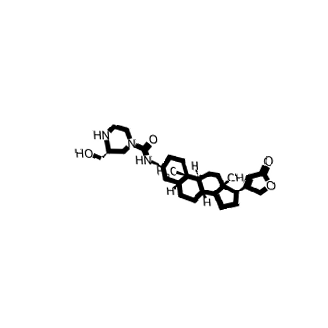 C[C@]12CC[C@H](NC(=O)N3CCN[C@@H](CO)C3)C[C@H]1CC[C@H]1C3=CC[C@H](C4=CC(=O)OC4)[C@@]3(C)CC[C@@H]12